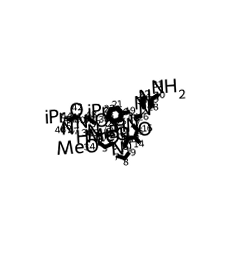 CC[C@H](C)[C@@H](C(CC(=O)N1CCC[C@H]1[C@@H](OC)C(C)C(=O)N[C@H](Cc1ccccc1)Cn1cc(CN)nn1)OC)N(C)C(=O)[C@@H](NC(=O)[C@H](C(C)C)N(C)C)C(C)C